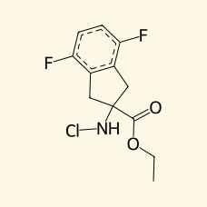 CCOC(=O)C1(NCl)Cc2c(F)ccc(F)c2C1